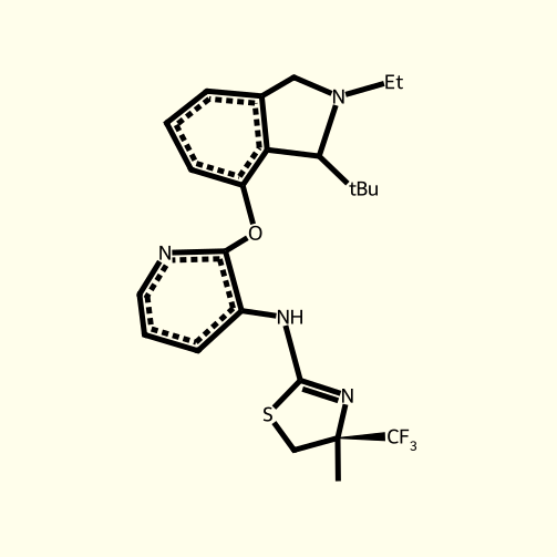 CCN1Cc2cccc(Oc3ncccc3NC3=N[C@@](C)(C(F)(F)F)CS3)c2C1C(C)(C)C